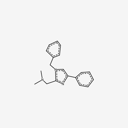 CN(C)Cc1nc(-c2ccccc2)cn1Cc1ccccc1